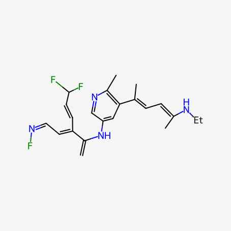 C=C(Nc1cnc(C)c(/C(C)=C/C=C(\C)NCC)c1)C(/C=C/C(F)F)=C/C=N\F